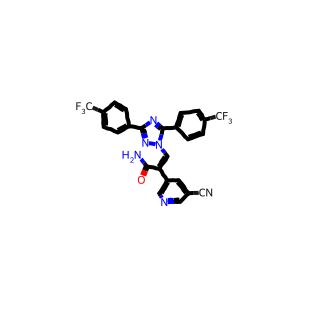 N#Cc1cncc(C(=Cn2nc(-c3ccc(C(F)(F)F)cc3)nc2-c2ccc(C(F)(F)F)cc2)C(N)=O)c1